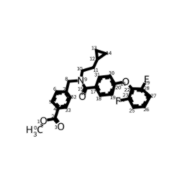 COC(=O)c1ccc(CN(CCC2CC2)C(=O)c2ccc(Oc3c(F)cccc3F)cc2)cc1